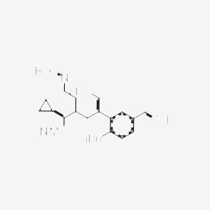 C=Cc1ccc(C(C)CC)c(/C(=C/C)CC(CCN=C)C(NC)=C2CC2)c1